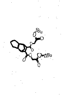 CC(C)(C)OC(=O)COC(=O)C1C2CC(C3CCCC32)C1C(=O)OCC(=O)OC(C)(C)C